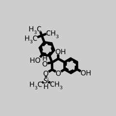 C[SiH](C)OC1Oc2cc(O)ccc2C(O)C1(O)c1ccc(C(C)(C)C)cc1O